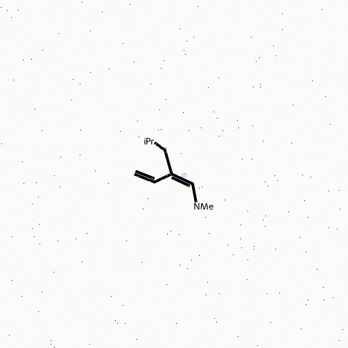 C=C/C(=C\NC)CC(C)C